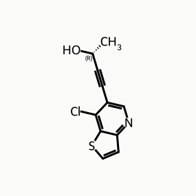 C[C@@H](O)C#Cc1cnc2ccsc2c1Cl